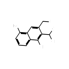 FCc1cc2c(Br)cccc2c(Cl)c1C(Cl)Cl